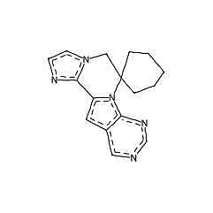 c1cn2c(n1)-c1cc3cncnc3n1C1(CCCCC1)C2